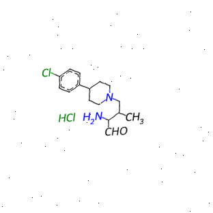 CC(CN1CCC(c2ccc(Cl)cc2)CC1)C(N)C=O.Cl